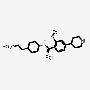 CCOc1cc(C2CCNCC2)ccc1C(=O)N[C@H]1CC[C@H](CCC(=O)O)CC1.Cl